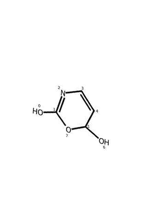 OC1=NC=CC(O)O1